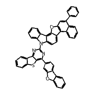 c1ccc(-c2cc3oc4c(ccc5c4c4ccccc4n5-c4nc(-c5ccc6c(c5)oc5ccccc56)c5sc6ccccc6c5n4)c3c3ccccc23)cc1